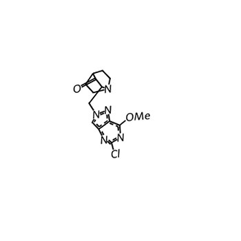 COc1nc(Cl)nc2cn(CC3C(=O)C4CCN3CC4)nc12